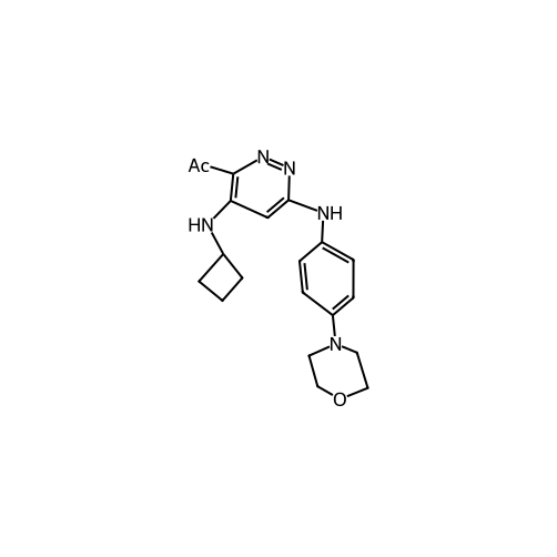 CC(=O)c1nnc(Nc2ccc(N3CCOCC3)cc2)cc1NC1CCC1